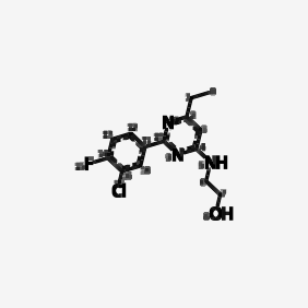 CCc1cc(NCCO)nc(-c2ccc(F)c(Cl)c2)n1